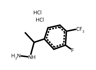 CC(NN)c1ccc(C(F)(F)F)c(F)c1.Cl.Cl